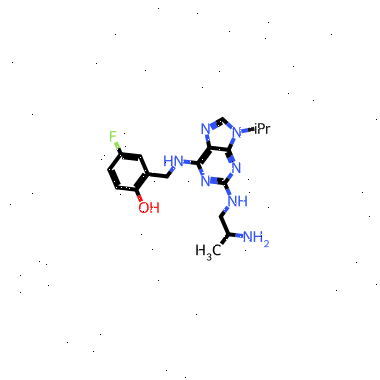 CC(N)CNc1nc(NCc2cc(F)ccc2O)c2ncn(C(C)C)c2n1